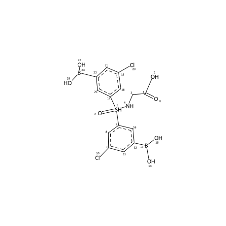 O=C(O)CN[SH](=O)(c1cc(Cl)cc(B(O)O)c1)c1cc(Cl)cc(B(O)O)c1